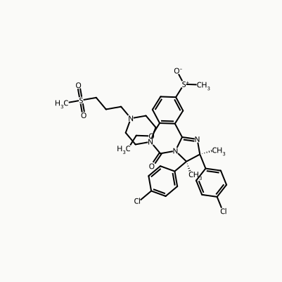 CCOc1ccc([S+](C)[O-])cc1C1=N[C@@](C)(c2ccc(Cl)cc2)[C@@](C)(c2ccc(Cl)cc2)N1C(=O)N1CCN(CCCS(C)(=O)=O)CC1